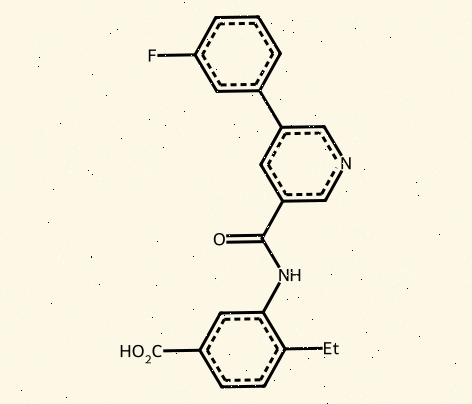 CCc1ccc(C(=O)O)cc1NC(=O)c1cncc(-c2cccc(F)c2)c1